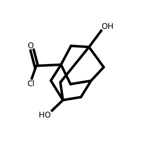 O=C(Cl)C12CC3CC(O)(CC(O)(C3)C1)C2